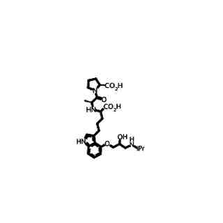 CC(C)NCC(O)COc1cccc2[nH]cc(CCCC(N[C@@H](C)C(=O)N3CCC[C@H]3C(=O)O)C(=O)O)c12